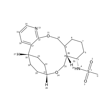 CS(=O)(=O)N[C@H]1CCCC2COc3ncccc3[C@H]3CC[C@H](CC3)OC[C@H]21